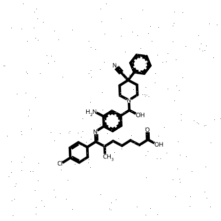 CC(CCCCC(=O)O)/C(=N\c1ccc(C(O)N2CCC(C#N)(c3ccccc3)CC2)cc1N)C1C=CC(Cl)=CC1